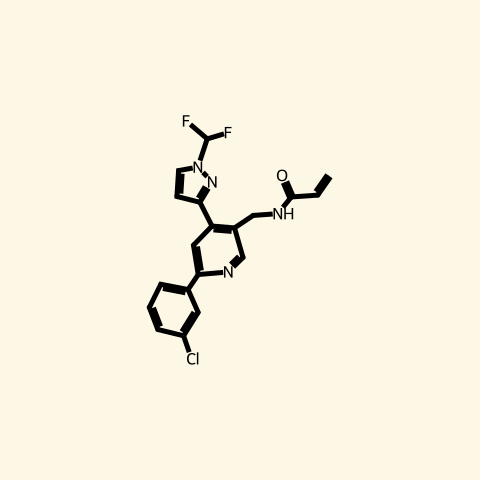 C=CC(=O)NCc1cnc(-c2cccc(Cl)c2)cc1-c1ccn(C(F)F)n1